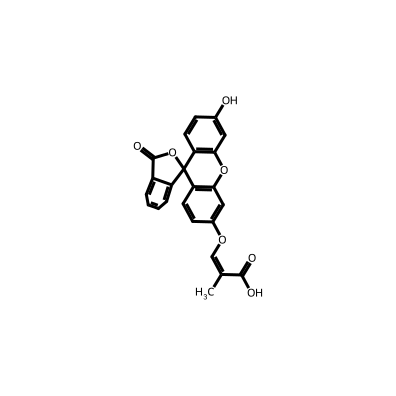 CC(=COc1ccc2c(c1)Oc1cc(O)ccc1C21OC(=O)c2ccccc21)C(=O)O